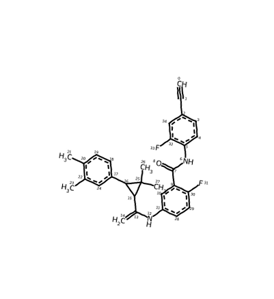 C#Cc1ccc(NC(=O)c2cc(NC(=C)C3C(c4ccc(C)c(C)c4)C3(C)C)ccc2F)c(F)c1